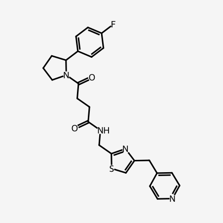 O=C(CCC(=O)N1CCCC1c1ccc(F)cc1)NCc1nc(Cc2ccncc2)cs1